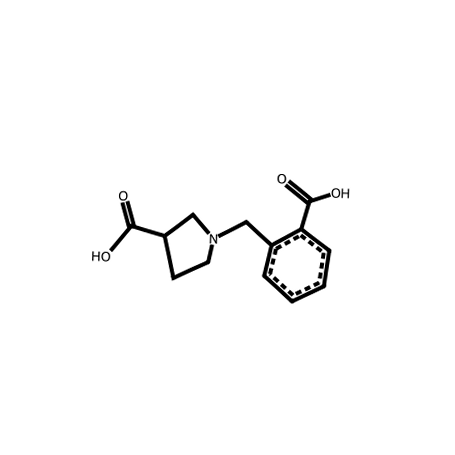 O=C(O)c1ccccc1CN1CCC(C(=O)O)C1